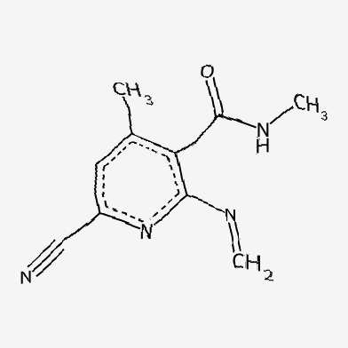 C=Nc1nc(C#N)cc(C)c1C(=O)NC